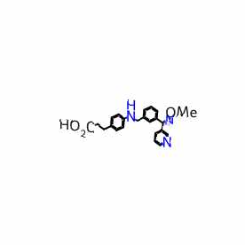 CO/N=C(/c1cccnc1)c1cccc(CNc2ccc(CCC(=O)O)cc2)c1